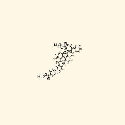 COC(=O)c1ccc(-c2ccc(COc3ccc4ccccc4c3-c3c(OCC4(C(=O)OC)C=CC(c5ccccc5)=CC4)ccc4ccccc34)cc2)cc1